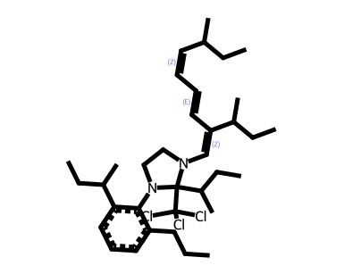 CCCc1cccc(C(C)CC)c1N1CCN(\C=C(/C=C/C=C\C(C)CC)C(C)CC)C1(C(C)CC)C(Cl)(Cl)Cl